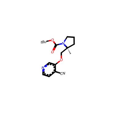 CC(C)(C)OC(=O)N1CCC[C@@]1(C)COc1cnccc1C#N